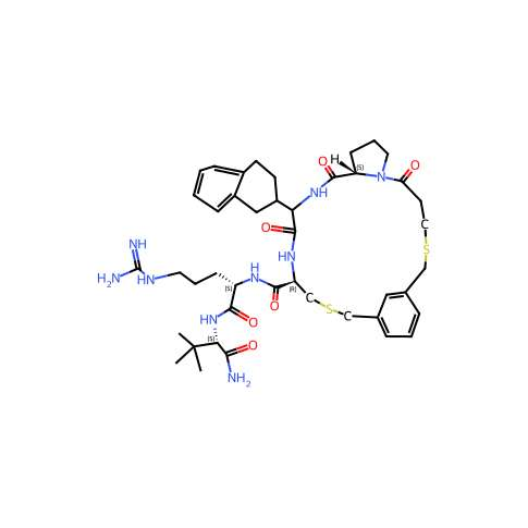 CC(C)(C)[C@H](NC(=O)[C@H](CCCNC(=N)N)NC(=O)[C@@H]1CSCc2cccc(c2)CSCCC(=O)N2CCC[C@H]2C(=O)NC(C2CCc3ccccc3C2)C(=O)N1)C(N)=O